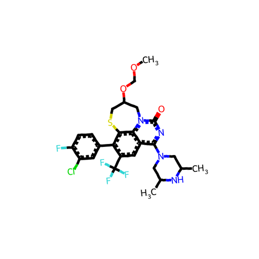 COCOC1CSc2c(-c3ccc(F)c(Cl)c3)c(C(F)(F)F)cc3c(N4CC(C)NC(C)C4)nc(=O)n(c23)C1